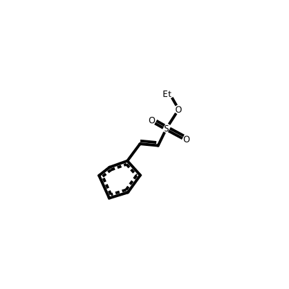 CCOS(=O)(=O)/C=C/c1ccccc1